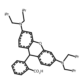 CC(C)CN(CC(C)C)c1ccc2c(c1)Oc1cc(N(CC(C)C)CC(C)C)ccc1C2c1ccccc1C(=O)O